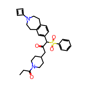 CCC(=O)N1CCC(CC(=O)C(c2ccc3c(c2)CCN(C2=CC=C2)CC3)S(=O)(=O)c2ccccc2)CC1